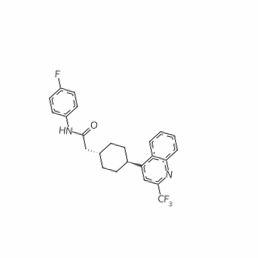 O=C(C[C@H]1CC[C@H](c2cc(C(F)(F)F)nc3ccccc32)CC1)Nc1ccc(F)cc1